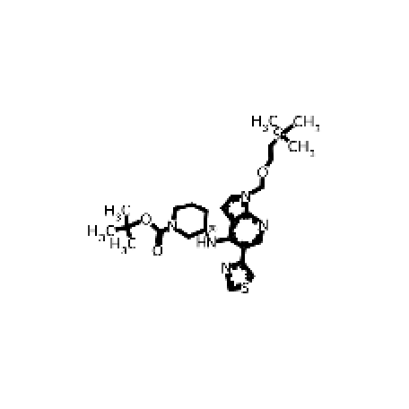 CC(C)(C)OC(=O)N1CCC[C@@H](Nc2c(-c3cscn3)cnc3c2ccn3COCC[Si](C)(C)C)C1